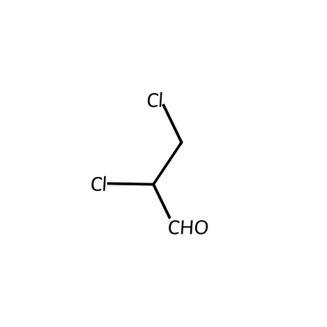 O=CC(Cl)CCl